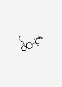 CC(C)(C)OC(=O)N1CCC2(CCCN2CCF)CC1